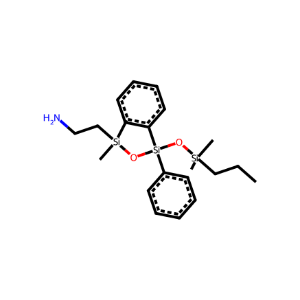 CCC[Si](C)(C)O[Si](O[Si](C)(C)CCN)(c1ccccc1)c1ccccc1